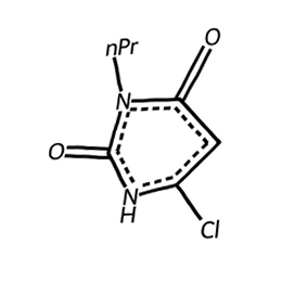 CCCn1c(=O)cc(Cl)[nH]c1=O